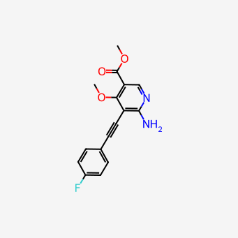 COC(=O)c1cnc(N)c(C#Cc2ccc(F)cc2)c1OC